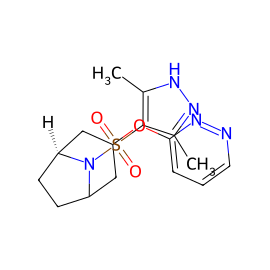 Cc1n[nH]c(C)c1S(=O)(=O)N1C2CC[C@H]1CC(Oc1cccnn1)C2